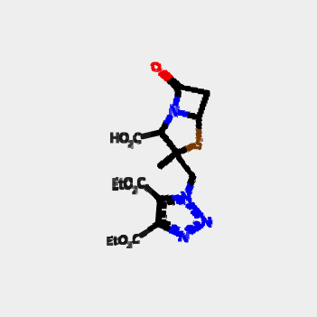 CCOC(=O)c1nnn(CC2(C)SC3CC(=O)N3C2C(=O)O)c1C(=O)OCC